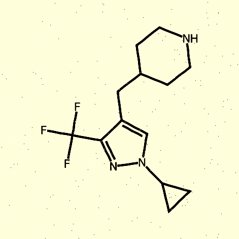 FC(F)(F)c1nn(C2CC2)cc1CC1CCNCC1